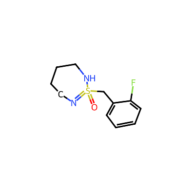 O=S1(Cc2ccccc2F)=NCCCCN1